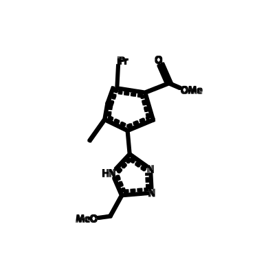 COCc1nnc(-c2cc(C(=O)OC)c(C(C)C)cc2C)[nH]1